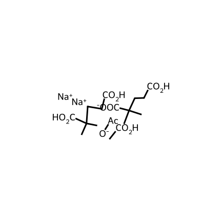 CC(=O)O.CC(=O)[O-].CC(C)(CCC(=O)O)C(=O)O.CC(C)(CCC(=O)O)C(=O)[O-].[Na+].[Na+]